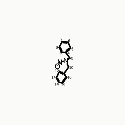 O=NN(Cc1ccccc1)Cc1ccccc1